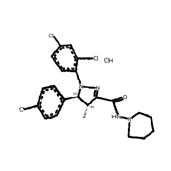 C[C@H]1C(C(=O)NN2CCCCC2)=NN(c2ccc(Cl)cc2Cl)[C@@H]1c1ccc(Cl)cc1.Cl